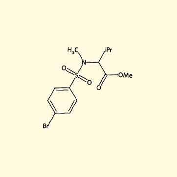 COC(=O)C(C(C)C)N(C)S(=O)(=O)c1ccc(Br)cc1